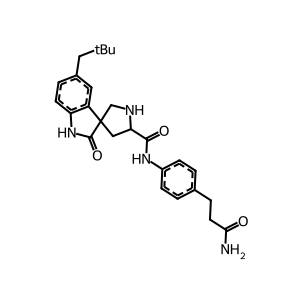 CC(C)(C)Cc1ccc2c(c1)C1(CNC(C(=O)Nc3ccc(CCC(N)=O)cc3)C1)C(=O)N2